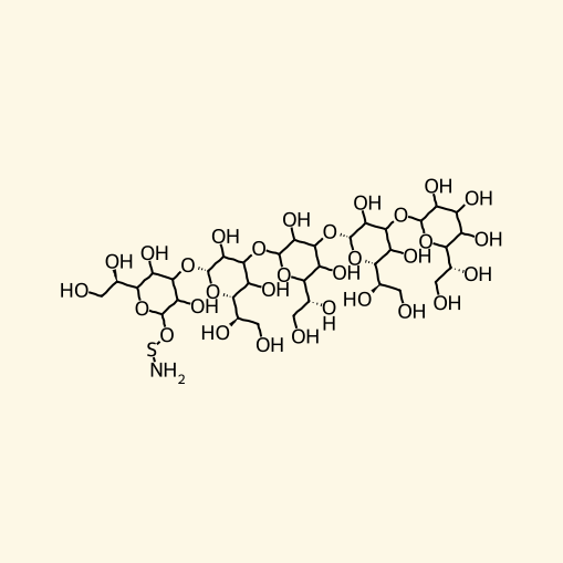 NSOC1OC([C@H](O)CO)C(O)C(O[C@H]2O[C@@H]([C@H](O)CO)C(O)C(OC3OC([C@H](O)CO)C(O)C(O[C@H]4O[C@@H]([C@H](O)CO)C(O)C(OC5OC([C@H](O)CO)C(O)C(O)C5O)C4O)C3O)C2O)C1O